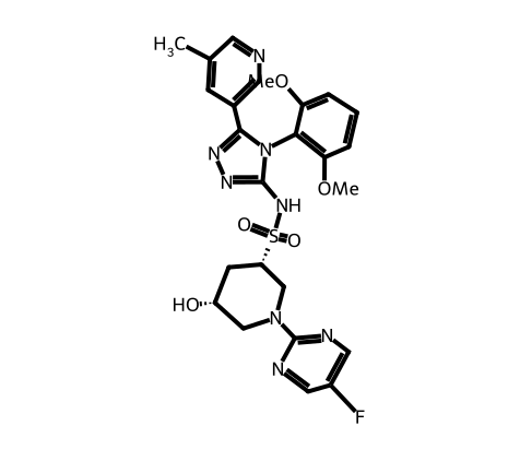 COc1cccc(OC)c1-n1c(NS(=O)(=O)[C@H]2C[C@@H](O)CN(c3ncc(F)cn3)C2)nnc1-c1cncc(C)c1